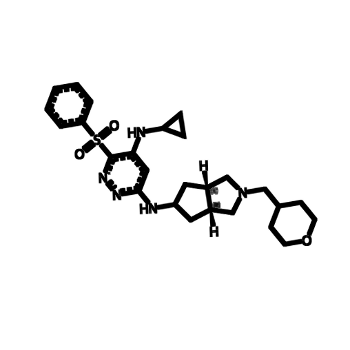 O=S(=O)(c1ccccc1)c1nnc(NC2C[C@@H]3CN(CC4CCOCC4)C[C@@H]3C2)cc1NC1CC1